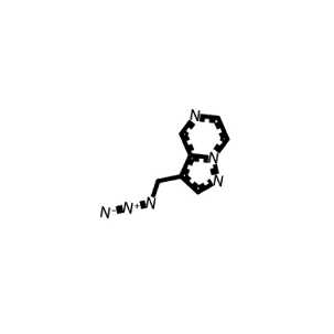 [N-]=[N+]=NCc1cnn2ccncc12